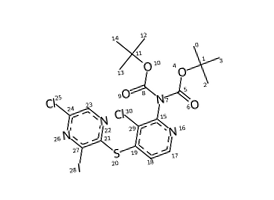 CC(C)(C)OC(=O)N(C(=O)OC(C)(C)C)c1nccc(Sc2ncc(Cl)nc2I)c1Cl